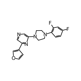 Fc1ccc(N2CCN(c3cncc(-c4ccoc4)n3)CC2)c(F)c1